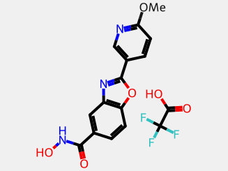 COc1ccc(-c2nc3cc(C(=O)NO)ccc3o2)cn1.O=C(O)C(F)(F)F